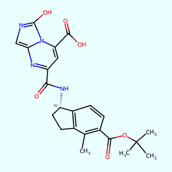 Cc1c(C(=O)OC(C)(C)C)ccc2c1CC[C@@H]2NC(=O)c1cc(C(=O)O)n2c(O)ncc2n1